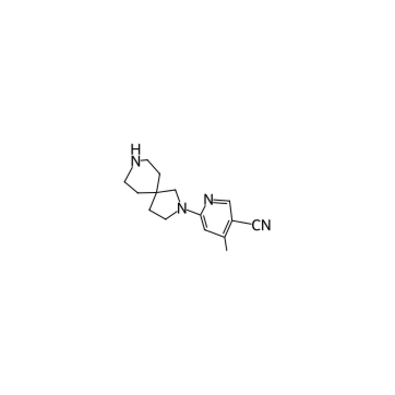 Cc1cc(N2CCC3(CCNCC3)C2)ncc1C#N